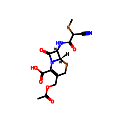 CSC(C#N)C(=O)N[C@@H]1C(=O)N2C(C(=O)O)=C(COC(C)=O)CS[C@H]12